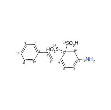 NC1=CC=C(C=Cc2ccccc2)C(S(=O)(=O)O)(S(=O)(=O)O)C1